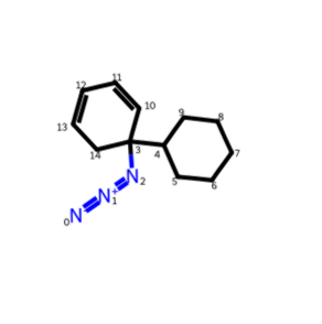 [N-]=[N+]=NC1(C2CCCCC2)C=CC=CC1